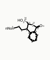 CCCCCCCCCCCC1c2ccccc2C(=O)SC1C(=O)O